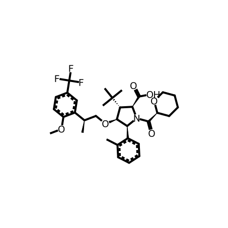 COc1ccc(C(F)(F)F)cc1[C@H](C)CO[C@H]1[C@H](C(C)(C)C)[C@@H](C(=O)O)N(C(=O)[C@@H]2CCCCO2)[C@H]1c1ccccc1C